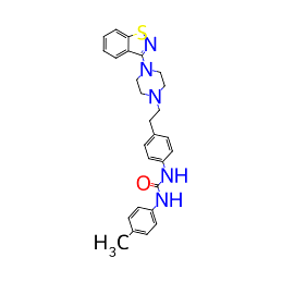 Cc1ccc(NC(=O)Nc2ccc(CCN3CCN(c4nsc5ccccc45)CC3)cc2)cc1